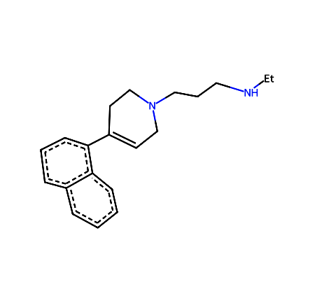 CCNCCCN1CC=C(c2cccc3ccccc23)CC1